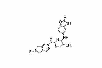 CCN1Cc2ccc(Nc3ncc(C)c(Nc4ccc5oc(=O)[nH]c5c4)n3)cc2C1